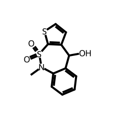 CN1c2ccccc2C(O)c2ccsc2S1(=O)=O